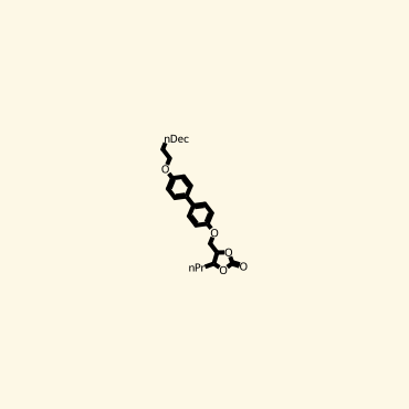 CCCCCCCCCCCCOc1ccc(-c2ccc(OCC3OC(=O)OC3CCC)cc2)cc1